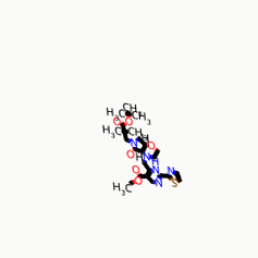 CCOC(=O)C1=C(CN2CCO[C@H]3CN(CC(C)(C)C(=O)OC(C)(C)C)C(=O)[C@H]32)NC(c2nccs2)=NC1